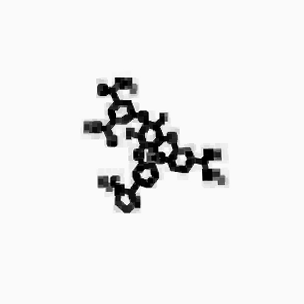 CN1CCN=C1c1cccc(Oc2nc(Oc3cc(C(=N)N)ccc3O)c(F)c(Oc3cc(C(N)=O)cc(C(=O)O)c3)c2F)c1